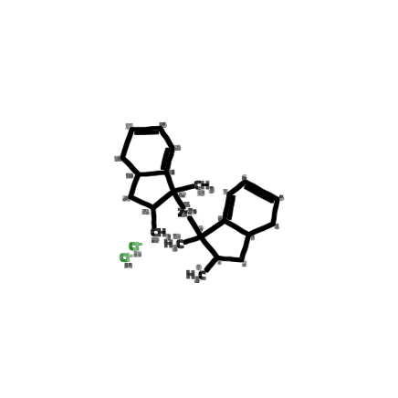 CC1CC2CC=CC=C2[C]1(C)[Zr+2][C]1(C)C2=CC=CCC2CC1C.[Cl-].[Cl-]